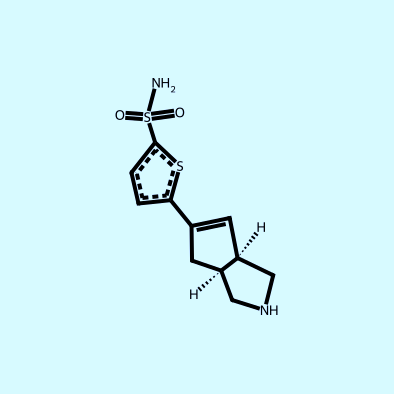 NS(=O)(=O)c1ccc(C2=C[C@H]3CNC[C@H]3C2)s1